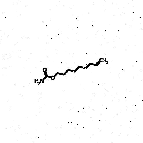 C=CCCCCCCCOC(N)=O